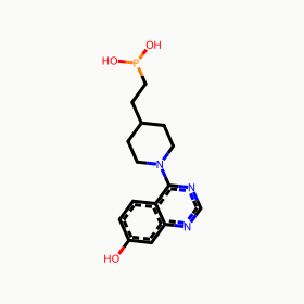 Oc1ccc2c(N3CCC(CCP(O)O)CC3)ncnc2c1